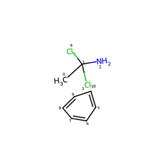 CC(N)(Cl)Cl.c1ccccc1